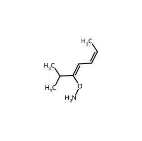 C/C=C\C=C(/ON)C(C)C